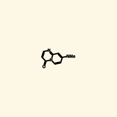 CNc1ccn2c(=O)ccnc2c1